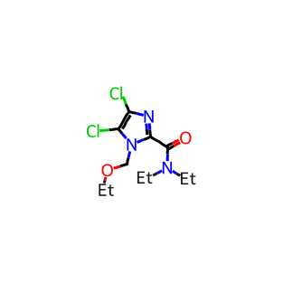 CCOCn1c(C(=O)N(CC)CC)nc(Cl)c1Cl